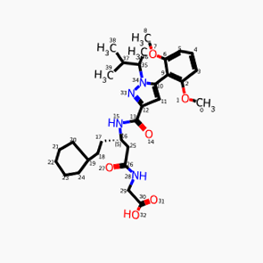 COc1cccc(OC)c1-c1cc(C(=O)N[C@@H](CCC2CCCCC2)CC(=O)NCC(=O)O)nn1C(C)C(C)C